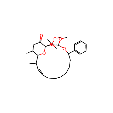 COC1OC(c2ccccc2)CCCCCCC=CC(C)C2OC(OC)(C(=O)CC2C)C1(C)OC